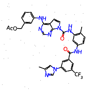 CC(=O)OCc1cccc(Nc2ncnc3c2ccn3C(=O)Nc2cc(NC(=O)c3cc(-n4cnc(C)c4)cc(C(F)(F)F)c3)ccc2C)c1